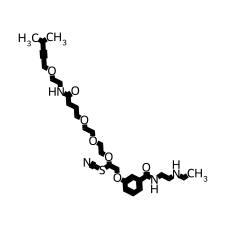 CCNCCNC(=O)c1cccc(OCC(OCCOCCOCCCC(=O)NCCOCC#CC(C)C)SC#N)c1